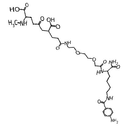 CNC(CCC(=O)CC(CCC(=O)NCCOCCOCC(=O)NC(CCCCNC(=O)c1ccc(N)cc1)C(N)=O)C(=O)O)C(=O)O